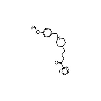 CC(C)Oc1ccc(CN2CCC(CCCC(=O)c3ncco3)CC2)cc1